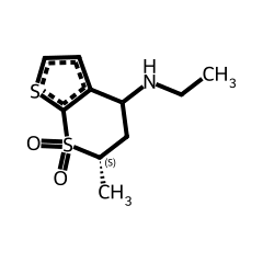 CCNC1C[C@H](C)S(=O)(=O)c2sccc21